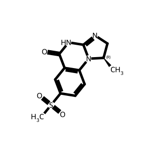 C[C@@H]1CN=C2NC(=O)c3cc(S(C)(=O)=O)ccc3N21